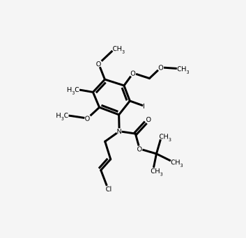 COCOc1c(I)c(N(CC=CCl)C(=O)OC(C)(C)C)c(OC)c(C)c1OC